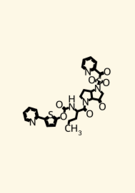 CCCC(NC(=O)Oc1ccc(-c2ccccn2)s1)C(=O)N1CCC2C1C(=O)CN2S(=O)(=O)C(=O)c1ccccn1